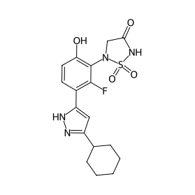 O=C1CN(c2c(O)ccc(-c3cc(C4CCCCC4)n[nH]3)c2F)S(=O)(=O)N1